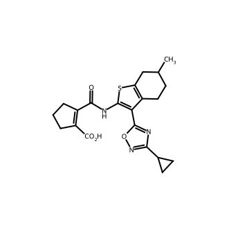 CC1CCc2c(sc(NC(=O)C3=C(C(=O)O)CCC3)c2-c2nc(C3CC3)no2)C1